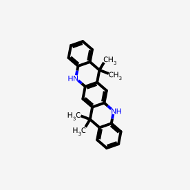 CC1(C)c2ccccc2Nc2cc3c(cc21)Nc1ccccc1C3(C)C